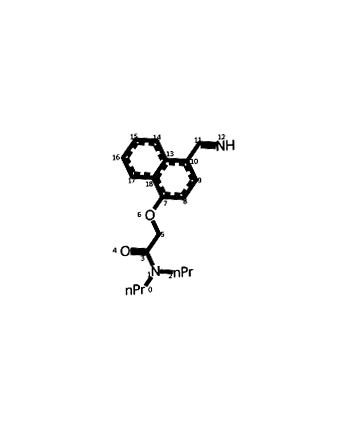 CCCN(CCC)C(=O)COc1ccc(C=N)c2ccccc12